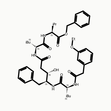 CCOc1cccc(CC(=O)N[C@H](C(=O)N[C@@H](Cc2ccccc2)[C@@H](O)CC(=O)N[C@H](C(=O)N[C@H](C(=O)OCc2ccccc2)C(C)C)[C@@H](C)CC)[C@@H](C)CC)c1